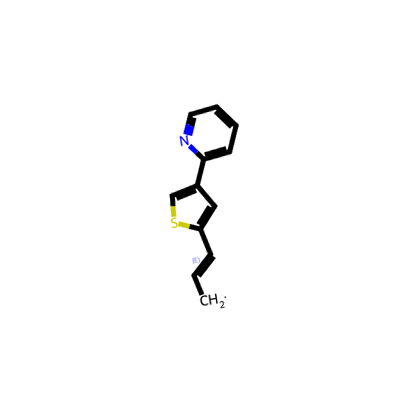 [CH2]/C=C/c1cc(-c2ccccn2)cs1